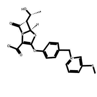 CSc1ccc[n+](Cc2ccc(OC3=C(C(=O)[O-])N4C(=O)[C@H]([C@@H](C)O)[C@H]4S3)cc2)c1